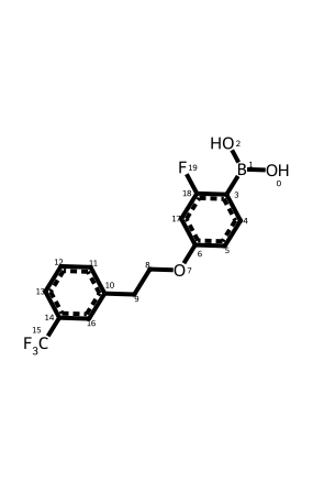 OB(O)c1ccc(OCCc2cccc(C(F)(F)F)c2)cc1F